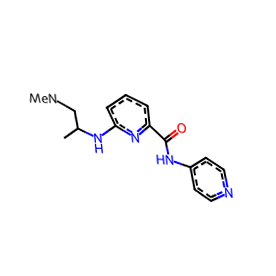 CNCC(C)Nc1cccc(C(=O)Nc2ccncc2)n1